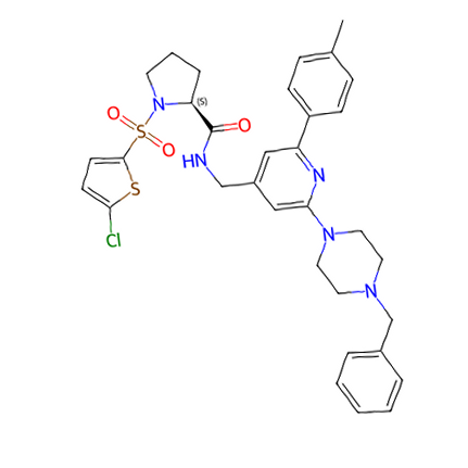 Cc1ccc(-c2cc(CNC(=O)[C@@H]3CCCN3S(=O)(=O)c3ccc(Cl)s3)cc(N3CCN(Cc4ccccc4)CC3)n2)cc1